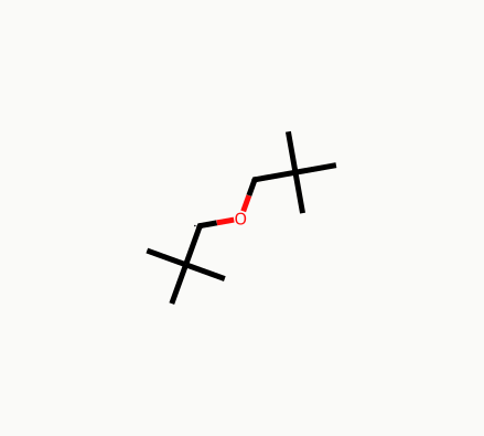 CC(C)(C)[CH]OCC(C)(C)C